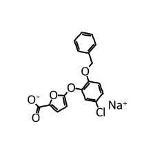 O=C([O-])c1ccc(Oc2cc(Cl)ccc2OCc2ccccc2)o1.[Na+]